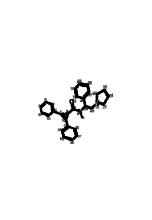 CN(C(=O)C1C(c2ccccc2)=C1c1ccccc1)C(CN1CCCC1)c1ccccc1